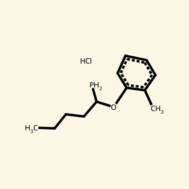 CCCCC(P)Oc1ccccc1C.Cl